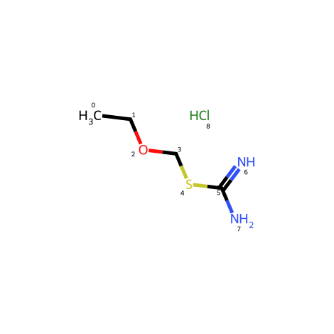 CCOCSC(=N)N.Cl